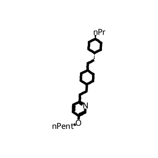 CCCCCOc1ccc(CCC2CCC(CC[C@H]3CC[C@H](CCC)CC3)CC2)nc1